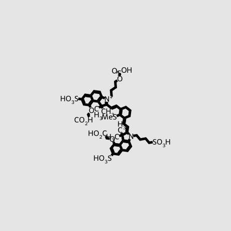 CSC1=C(/C=C/C2=[N+](CCCCOS(=O)O)c3ccc4cc(S(=O)(=O)O)cc(OCC(=O)O)c4c3C2(C)C)CCC/C1=C\C=C1\N(CCCCS(=O)(=O)O)c2ccc3cc(S(=O)(=O)O)cc(OCC(=O)O)c3c2C1(C)C